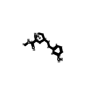 CCC(CCc1cccc(O)c1)CC(N)C(=O)OC